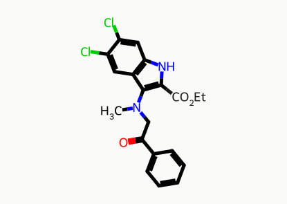 CCOC(=O)c1[nH]c2cc(Cl)c(Cl)cc2c1N(C)CC(=O)c1ccccc1